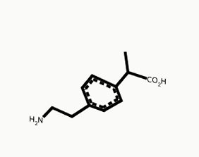 CC(C(=O)O)c1ccc(CCN)cc1